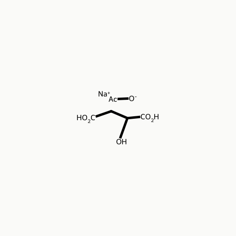 CC(=O)[O-].O=C(O)CC(O)C(=O)O.[Na+]